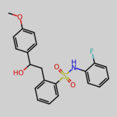 COc1ccc(C(O)Cc2ccccc2S(=O)(=O)Nc2ccccc2F)cc1